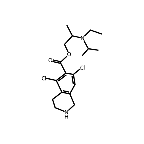 CCN(C(C)C)C(C)COC(=O)c1c(Cl)cc2c(c1Cl)CCNC2